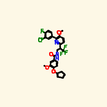 COc1cc(C(=O)NCC(c2ccc(OC)c(-c3ccc(F)c(Cl)c3)n2)C(F)(F)F)ccc1OC1CCCC1